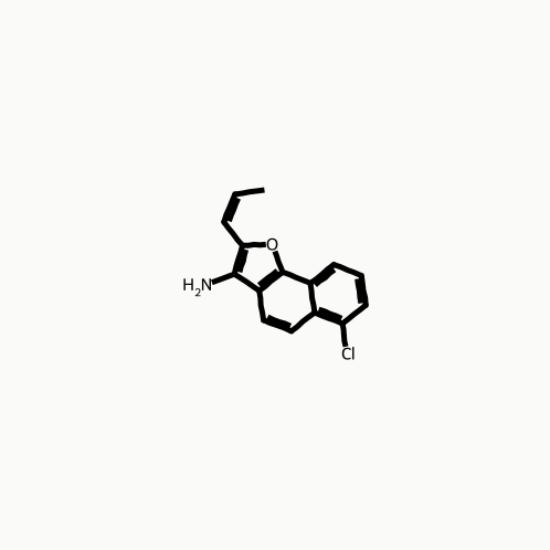 C/C=C\c1oc2c(ccc3c(Cl)cccc32)c1N